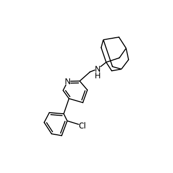 Clc1ccccc1-c1ccc(CNC23CC4CC(CC(C4)C2)C3)nc1